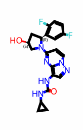 O=C(Nc1cnn2ccc(N3C[C@@H](O)C[C@@H]3c3cc(F)ccc3F)nc12)NC1CC1